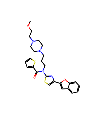 COCCN1CCN(CCCN(C(=O)c2cccs2)c2nc(-c3cc4ccccc4o3)cs2)CC1